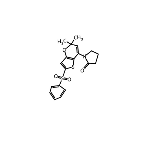 CC1(C)C=C(N2CCCC2=O)c2sc(S(=O)(=O)c3ccccc3)cc2O1